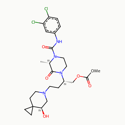 COC(=O)OC[C@H](CCN1CCC2(CC2)[C@H](O)C1)N1CCN(C(=O)Nc2ccc(Cl)c(Cl)c2)[C@@H](C)C1=O